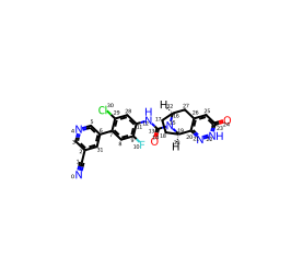 N#Cc1cncc(-c2cc(F)c(NC(=O)N3[C@H]4CC[C@@H]3c3n[nH]c(=O)cc3C4)cc2Cl)c1